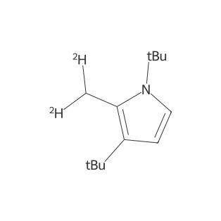 [2H]C([2H])c1c(C(C)(C)C)ccn1C(C)(C)C